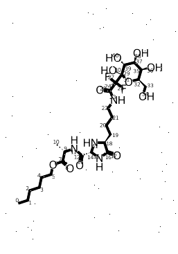 CCCCCCOC(=O)[C@H](C)NC(=O)[C@H]1NC(=O)[C@H](CCCCNC(=O)C(F)(F)[C@]2(O)O[C@H](CO)[C@H](O)[C@H](O)[C@H]2O)N1